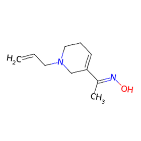 C=CCN1CCC=C(C(C)=NO)C1